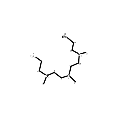 CN(CCN(C)CCC(C)(C)C)CCN(C)CCC(C)(C)C